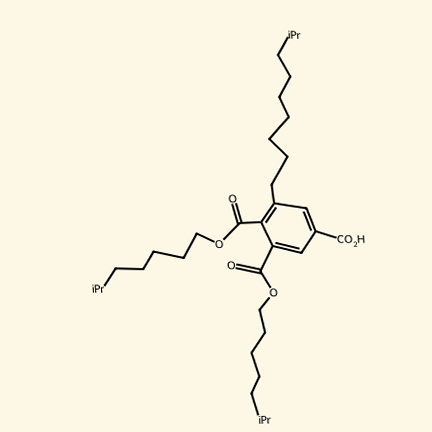 CC(C)CCCCCCCc1cc(C(=O)O)cc(C(=O)OCCCCCC(C)C)c1C(=O)OCCCCCC(C)C